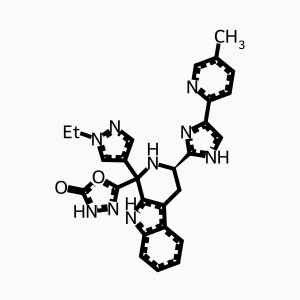 CCn1cc(C2(c3n[nH]c(=O)o3)N[C@@H](c3nc(-c4ccc(C)cn4)c[nH]3)Cc3c2[nH]c2ccccc32)cn1